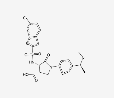 C[C@@H](c1ccc(N2CC[C@H](NS(=O)(=O)c3cc4ccc(Cl)cc4s3)C2=O)cc1)N(C)C.O=CO